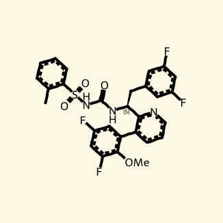 COc1c(F)cc(F)cc1-c1cccnc1[C@H](Cc1cc(F)cc(F)c1)NC(=O)NS(=O)(=O)c1ccccc1C